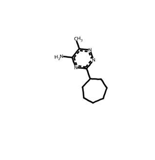 Cc1nnc(C2CCCCCC2)nc1N